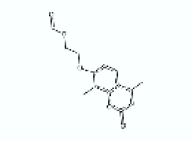 Cc1cc(=O)oc2c(C)c(OCCO[C]=O)ccc12